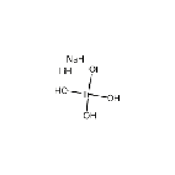 [LiH].[NaH].[OH][Ti]([OH])([OH])[OH]